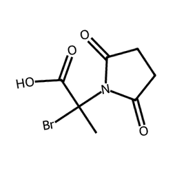 CC(Br)(C(=O)O)N1C(=O)CCC1=O